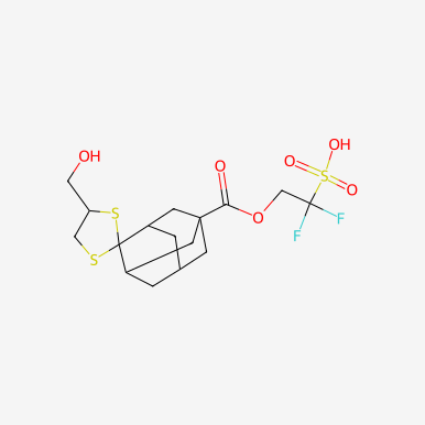 O=C(OCC(F)(F)S(=O)(=O)O)C12CC3CC(C1)C1(SCC(CO)S1)C(C3)C2